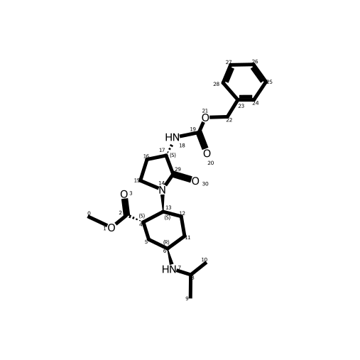 COC(=O)[C@H]1C[C@H](NC(C)C)CC[C@@H]1N1CC[C@H](NC(=O)OCc2ccccc2)C1=O